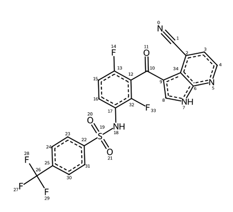 N#Cc1ccnc2[nH]cc(C(=O)c3c(F)ccc(NS(=O)(=O)c4ccc(C(F)(F)F)cc4)c3F)c12